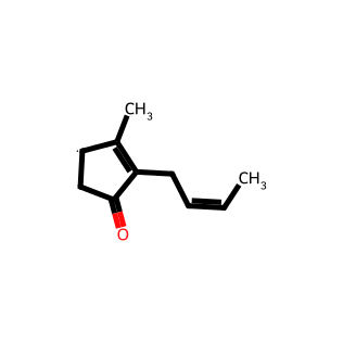 C/C=C\CC1=C(C)[CH]CC1=O